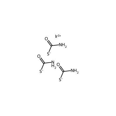 NC(=O)[S-].NC(=O)[S-].NC(=O)[S-].[Ir+3]